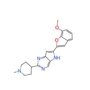 COc1cccc2cc(-c3cc4nc(C5CCN(C)CC5)ncc4[nH]3)oc12